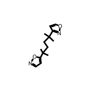 CC(C)(CCC(C)(C)c1ccno1)c1ccon1